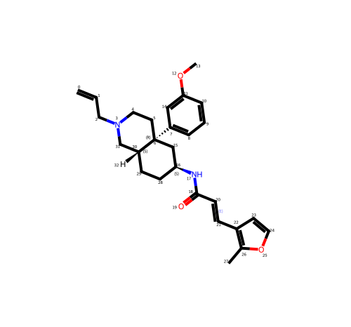 C=CCN1CC[C@@]2(c3cccc(OC)c3)C[C@@H](NC(=O)/C=C/c3ccoc3C)CC[C@@H]2C1